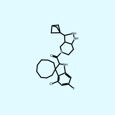 O=C(C1Nc2cc(F)cc(Cl)c2C12CCCCCCCC2)N1CCC2NNC(C34CC(C3)C4)C2C1